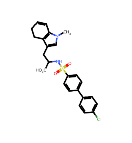 Cn1cc(CC(NS(=O)(=O)c2ccc(-c3ccc(Cl)cc3)cc2)C(=O)O)c2c1C=CCC2